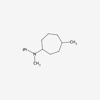 CC1CCCC(N(C)C(C)C)CC1